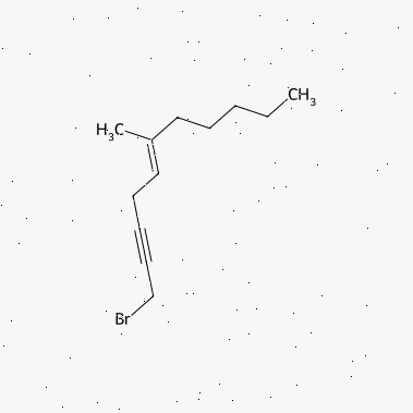 CCCCCC(C)=CCC#CCBr